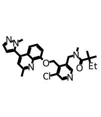 CCC(C)(C)C(=O)N(C)Cc1cncc(Cl)c1COc1cccc2c(-c3ccnn3C)cc(C)nc12